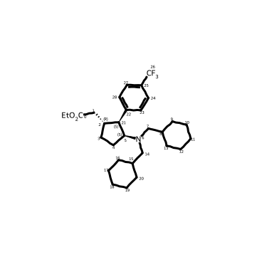 CCOC(=O)C[C@H]1CC[C@H](N(CC2CCCCC2)CC2CCCCC2)[C@@H]1c1ccc(C(F)(F)F)cc1